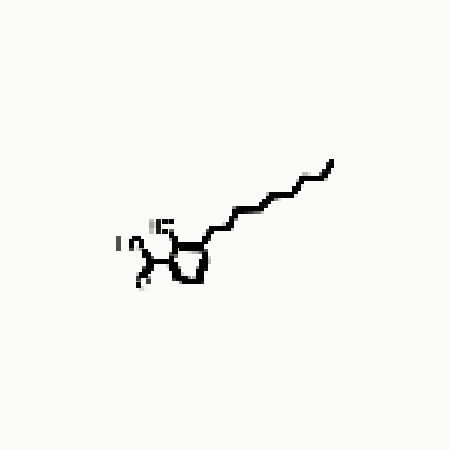 CCCCCCCCCc1cccc(C(=O)O)c1O